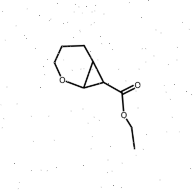 CCOC(=O)C1C2CCCOC21